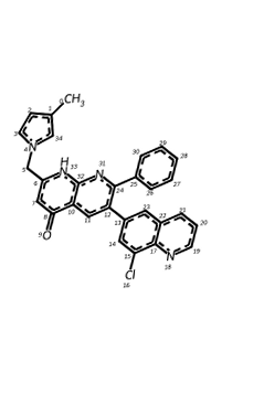 Cc1ccn(Cc2cc(=O)c3cc(-c4cc(Cl)c5ncccc5c4)c(-c4ccccc4)nc3[nH]2)c1